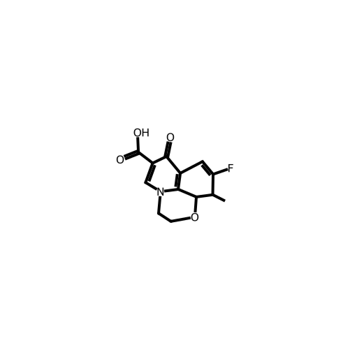 CC1C(F)=Cc2c3n(cc(C(=O)O)c2=O)CCOC31